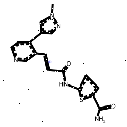 Cn1cc(-c2ccncc2/C=C/C(=O)Nc2ccc(C(N)=O)s2)cn1